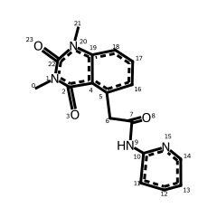 Cn1c(=O)c2c(CC(=O)Nc3ccccn3)cccc2n(C)c1=O